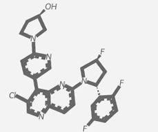 O[C@@H]1CCN(c2ccc(-c3c(Cl)cnc4ccc(N5C[C@@H](F)C[C@@H]5c5cc(F)ccc5F)nc34)cn2)C1